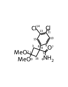 COC1(OC)CC(C(N)=O)(c2ccc(Cl)c(Cl)c2)C1